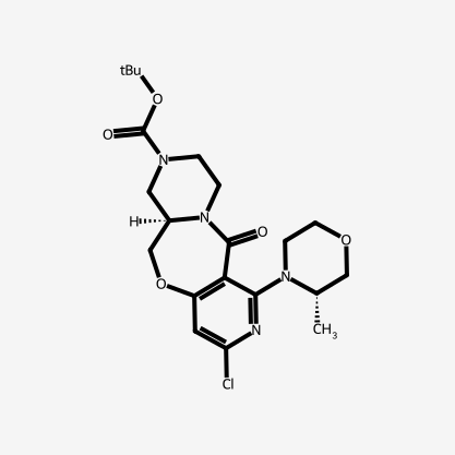 C[C@H]1COCCN1c1nc(Cl)cc2c1C(=O)N1CCN(C(=O)OC(C)(C)C)C[C@@H]1CO2